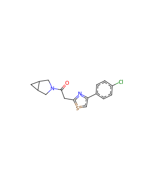 O=C(Cc1nc(-c2ccc(Cl)cc2)cs1)N1CC2CC2C1